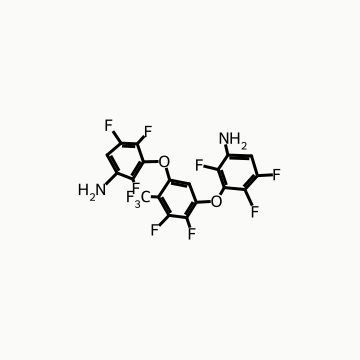 Nc1cc(F)c(F)c(Oc2cc(Oc3c(F)c(N)cc(F)c3F)c(C(F)(F)F)c(F)c2F)c1F